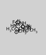 CC1C(Nc2nc(Nc3ccc(F)c(-n4nnn(C)c4=O)c3)ncc2F)CC(C)(C)N2CCCC12